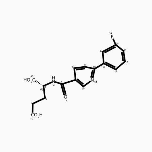 O=C(O)CC[C@@H](NC(=O)c1ccc(-c2cccc(F)c2)nc1)C(=O)O